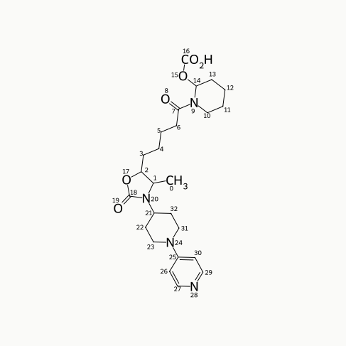 CC1C(CCCCC(=O)N2CCCCC2OC(=O)O)OC(=O)N1C1CCN(c2ccncc2)CC1